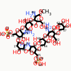 CO[C@H]1OC(CO)[C@@H](O[C@H]2C[C@H](O)[C@@H](O[C@@H]3OC(COS(=O)(=O)O)[C@@H](O[C@H]4C[C@H](O)[C@H](O[C@@H]5OC(COS(=O)(=O)O)[C@@H](O[C@H]6C[C@H](O)C(O[C@H]7OC(CO)[C@@H](O[C@H]8C[C@H](O)[C@H](O)CO8)[C@H](O)C7N)CO6)[C@H](O)C5N)CO4)[C@H](O)C3N)CO2)[C@H](O)C1N